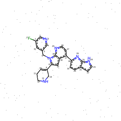 Fc1cncc(Cn2c(C3=CCCNC3)cc3c(-c4ccc5cc[nH]c5n4)ccnc32)c1